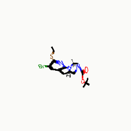 CCSc1nc2c(cc1Br)C[C@@H]1CN(C(=O)OC(C)(C)C)C[C@@H](C)N21